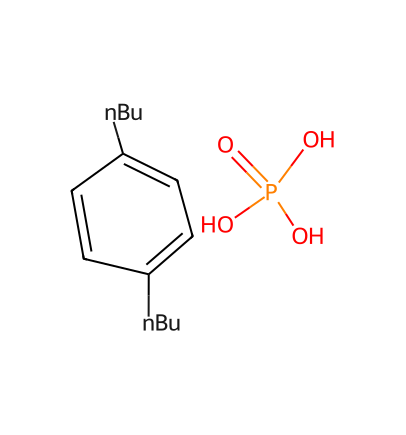 CCCCc1ccc(CCCC)cc1.O=P(O)(O)O